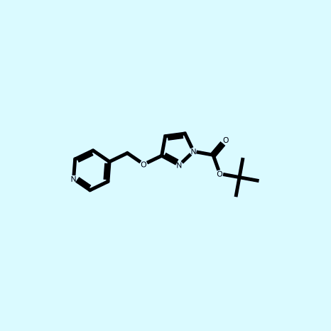 CC(C)(C)OC(=O)n1ccc(OCc2ccncc2)n1